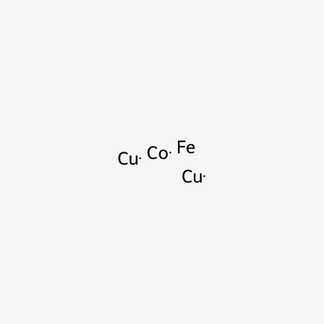 [Co].[Cu].[Cu].[Fe]